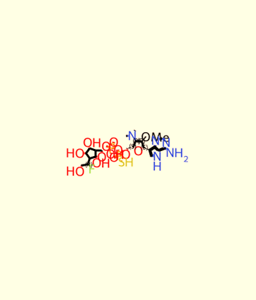 CO[C@@H]1[C@H](N(C)C)[C@@H](COP(=O)(S)OP(=O)(O)OC2OC3(O)C2C(O)C(O)C3[C@@H](F)CO)O[C@H]1c1c[nH]c2c(N)ncnc12